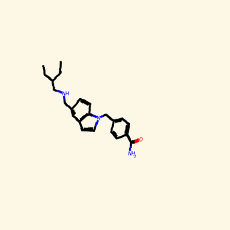 CCC(CC)CNCc1ccc2c(ccn2Cc2ccc(C(N)=O)cc2)c1